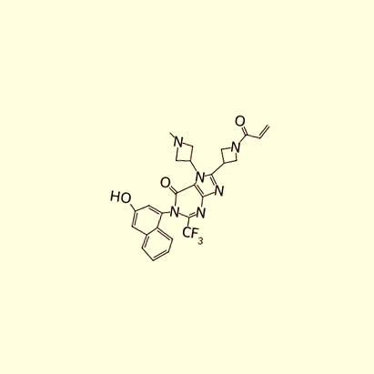 C=CC(=O)N1CC(c2nc3nc(C(F)(F)F)n(-c4cc(O)cc5ccccc45)c(=O)c3n2C2CN(C)C2)C1